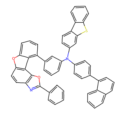 c1ccc(-c2nc3ccc4oc5cccc(-c6cccc(N(c7ccc(-c8cccc9ccccc89)cc7)c7ccc8c(c7)sc7ccccc78)c6)c5c4c3o2)cc1